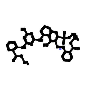 NOC(=O)c1ccccc1/N=N/c1c(S(=O)(=O)ON)cc2cccc(Nc3nc(O)nc(Nc4ccccc4C(=O)ON)n3)c2c1O